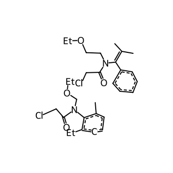 CCOCCN(C(=O)CCl)C(=C(C)C)c1ccccc1.CCOCN(C(=O)CCl)c1c(C)cccc1CC